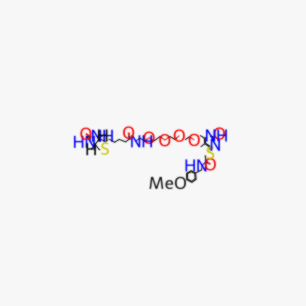 COc1ccc(CNC(=O)CSc2nc(=O)[nH]c(COCCOCCOCCOCCNC(=O)CCCC[C@@H]3SC[C@@H]4NC(=O)N[C@@H]43)c2C)cc1